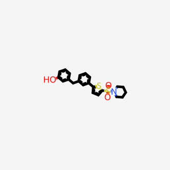 O=S(=O)(c1ccc(-c2cccc(Cc3cccc(O)c3)c2)s1)N1CCCCC1